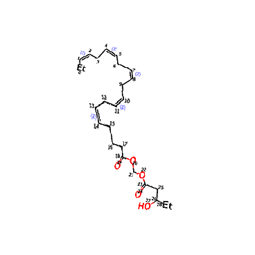 CC/C=C\C/C=C\C/C=C\C/C=C\C/C=C\CCCC(=O)OCOC(=O)CC(O)CC